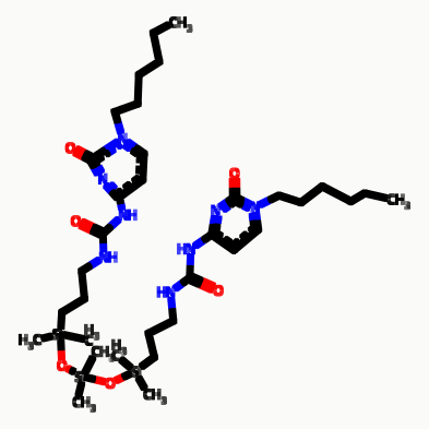 CCCCCCn1ccc(NC(=O)NCCC[Si](C)(C)O[Si](C)(C)O[Si](C)(C)CCCNC(=O)Nc2ccn(CCCCCC)c(=O)n2)nc1=O